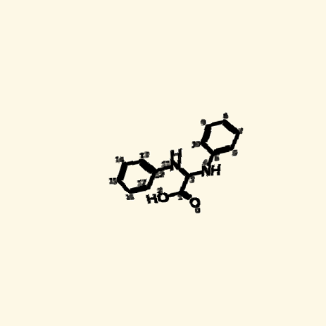 O=C(O)C(Nc1ccccc1)Nc1ccccc1